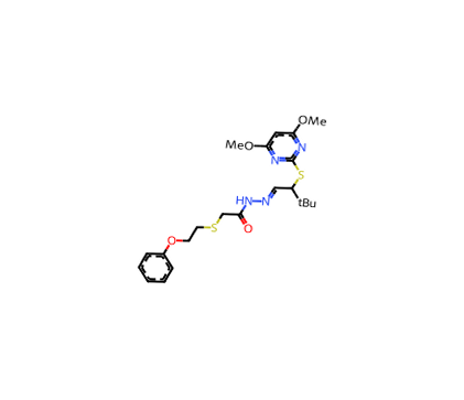 COc1cc(OC)nc(SC(C=NNC(=O)CSCCOc2ccccc2)C(C)(C)C)n1